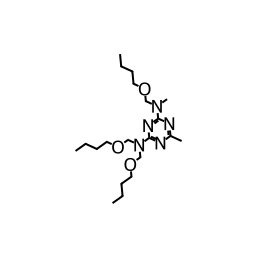 CCCCOCN(C)c1nc(C)nc(N(COCCCC)COCCCC)n1